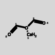 O=COC=O.[CaH2]